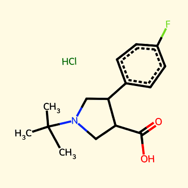 CC(C)(C)N1CC(C(=O)O)C(c2ccc(F)cc2)C1.Cl